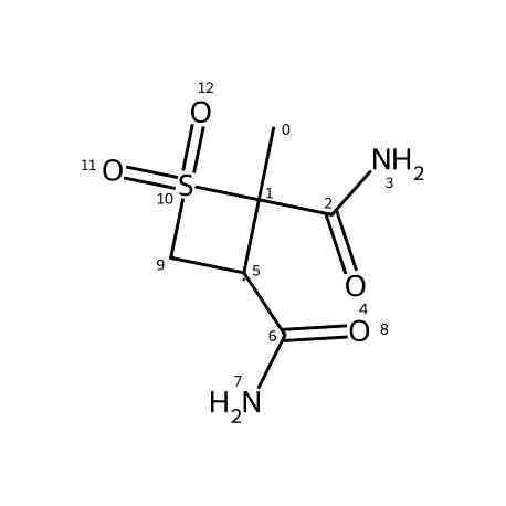 CC1(C(N)=O)[C](C(N)=O)CS1(=O)=O